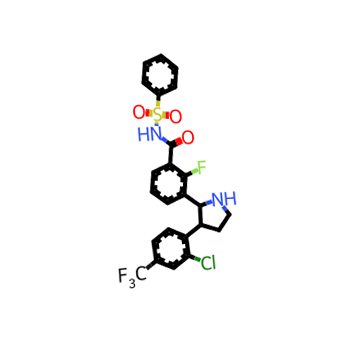 O=C(NS(=O)(=O)c1ccccc1)c1cccc(C2NCCC2c2ccc(C(F)(F)F)cc2Cl)c1F